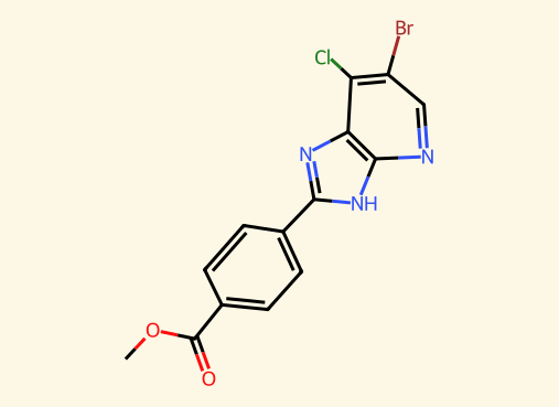 COC(=O)c1ccc(-c2nc3c(Cl)c(Br)cnc3[nH]2)cc1